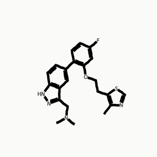 Cc1ncsc1CCOc1cc(F)ccc1-c1ccc2[nH]nc(CN(C)C)c2c1